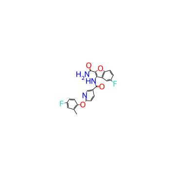 Cc1cc(F)ccc1Oc1ccc(C(=O)Nc2c(C(N)=O)oc3ccc(F)cc23)cn1